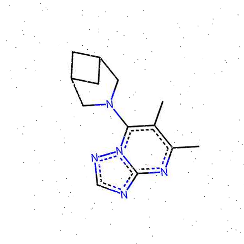 Cc1nc2ncnn2c(N2CC3CC(C3)C2)c1C